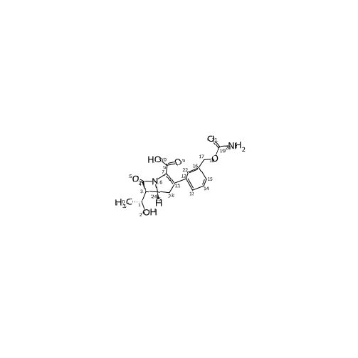 C[C@@H](O)[C@H]1C(=O)N2C(C(=O)O)=C(c3cccc(COC(N)=O)c3)C[C@H]12